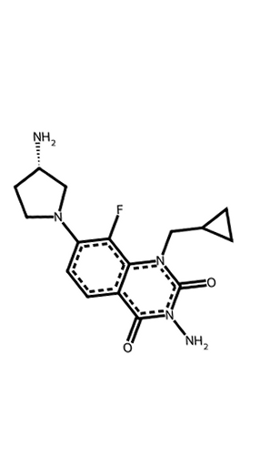 N[C@H]1CCN(c2ccc3c(=O)n(N)c(=O)n(CC4CC4)c3c2F)C1